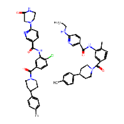 Cc1ccc(C(=O)N2CCC(c3ccc(C#N)cc3)CC2)cc1NC(=O)c1ccc(NCC(=O)O)nc1.N#Cc1ccc(C2CCN(C(=O)c3ccc(Cl)c(NC(=O)c4ccc(N5CCNC(=O)C5)nc4)c3)CC2)cc1